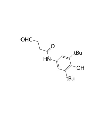 CC(C)(C)c1cc(NC(=O)CC[C]=O)cc(C(C)(C)C)c1O